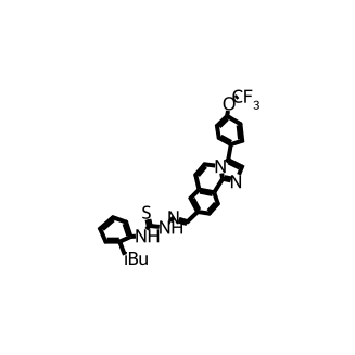 CCC(C)c1ccccc1NC(=S)NN=Cc1ccc2c(ccn3c(-c4ccc(OC(F)(F)F)cc4)cnc23)c1